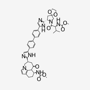 COC(=O)N[C@H]1CCc2ccn3c2C1C(=O)C[C@H](c1ncc(-c2ccc(-c4ccc(-c5cnc([C@@H]6CC7(CN6C(=O)[C@@H](NC(=O)OC)C(C)C)OCCO7)[nH]5)cc4)cc2)[nH]1)C3